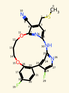 CSCc1cc2nc(c1C#N)OCCCOc1cc(F)ccc1-c1cc(ncc1F)N2